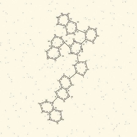 c1cc(-c2ccc3cc(-c4cccc5ccccc45)ccc3c2)cc(-c2nc(-c3ccccc3-c3ccc4ccccc4c3)nc(-c3cccc4ccccc34)n2)c1